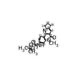 COC(=O)c1cc2c(nc1-c1ccc(NC(=O)OC(C)(C)C)cc1)CCC2